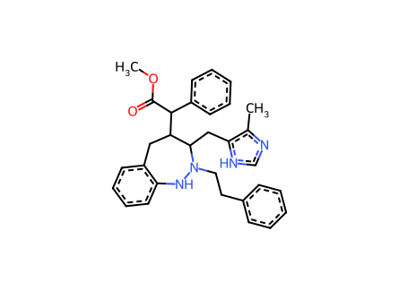 COC(=O)C(c1ccccc1)C1Cc2ccccc2NN(CCc2ccccc2)C1Cc1[nH]cnc1C